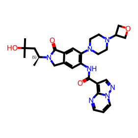 C[C@@H](CC(C)(C)O)N1Cc2cc(NC(=O)c3cnn4cccnc34)c(N3CCN(C4COC4)CC3)cc2C1=O